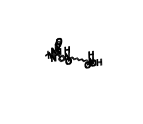 CC(C)n1cnc2c(-c3cccc(NC(=O)CCCCCCCC(=O)NO)c3)nc(N3CCOCC3)nc21